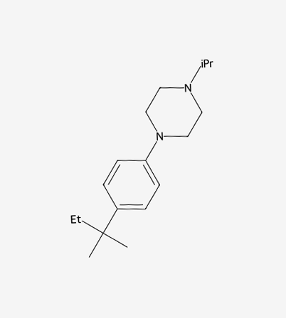 CCC(C)(C)c1ccc(N2CCN(C(C)C)CC2)cc1